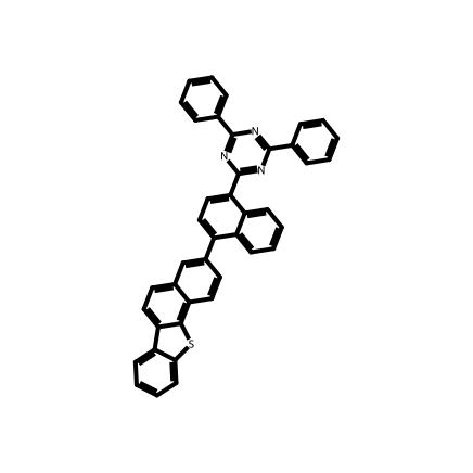 c1ccc(-c2nc(-c3ccccc3)nc(-c3ccc(-c4ccc5c(ccc6c7ccccc7sc56)c4)c4ccccc34)n2)cc1